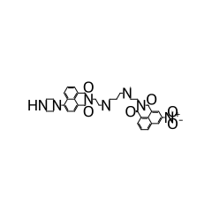 CN(CCCN(C)CCN1C(=O)c2cccc3c(N4CCNCC4)ccc(c23)C1=O)CCN1C(=O)c2cccc3cc([N+](=O)[O-])cc(c23)C1=O